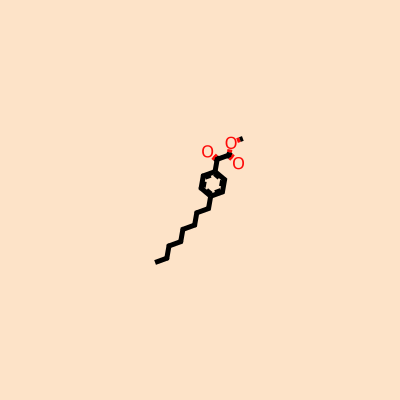 CCCCCCCCc1ccc(C(=O)C(=O)OC)cc1